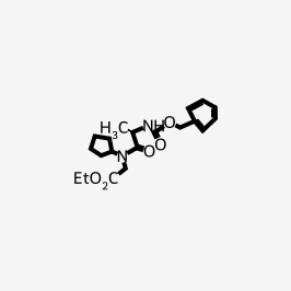 CCOC(=O)CN(C(=O)[C@H](C)NC(=O)OCc1ccccc1)C1CCCC1